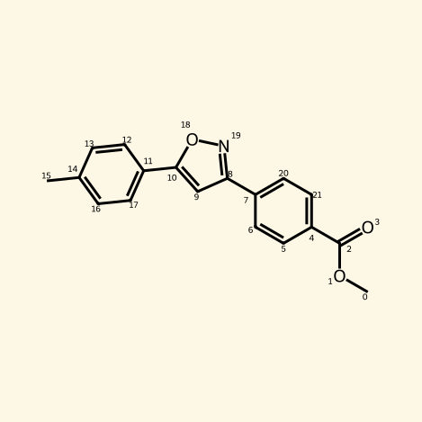 COC(=O)c1ccc(-c2cc(-c3ccc(C)cc3)on2)cc1